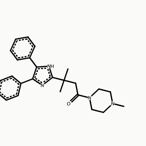 CN1CCN(C(=O)CC(C)(C)c2nc(-c3ccccc3)c(-c3ccccc3)[nH]2)CC1